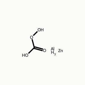 O=C(O)OO.[AlH3].[Zn]